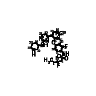 CCC(F)(F)CS(=O)(=O)Nc1ccc(Oc2ncccc2-c2ccnc(NC3CCCNC3)n2)c(F)c1F.Cl